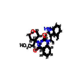 Cc1cccc2[nH]cc(C(C)n3c(=O)n(C4(CC(=O)O)CCOCC4)c(=O)c4ccccc43)c12